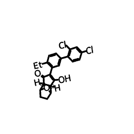 CCc1ccc(-c2ccc(Cl)cc2Cl)cc1C1=C(O)[C@@H]2C3CCC(O3)[C@@H]2C1=O